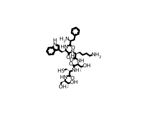 C[C@@H](O)[C@H](NC(=O)[C@H](CCCCN)NC(=O)[C@@H](Cc1c[nH]c2ccccc12)NC(=O)[C@@H](N)Cc1ccccc1)C(=O)N[C@@H](CS)C(=O)N[C@H](CO)[C@@H](C)O